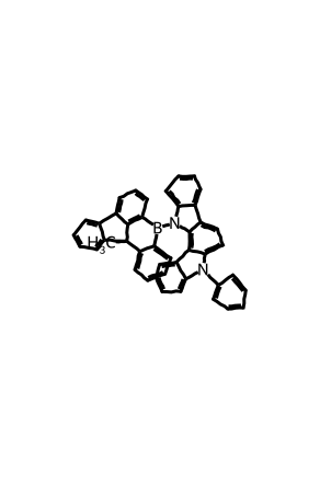 CC12c3ccccc3B(n3c4ccccc4c4ccc5c(c6ccccc6n5-c5ccccc5)c43)c3cccc(c31)-c1ccccc12